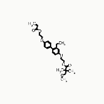 C=CC(=O)OCCOc1ccc(-c2ccc(OCCOC(=O)C(C)(C)COC)cc2CC)cc1